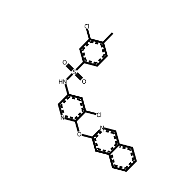 Cc1ccc(S(=O)(=O)Nc2cnc(Oc3cc4ccccc4cn3)c(Cl)c2)cc1Cl